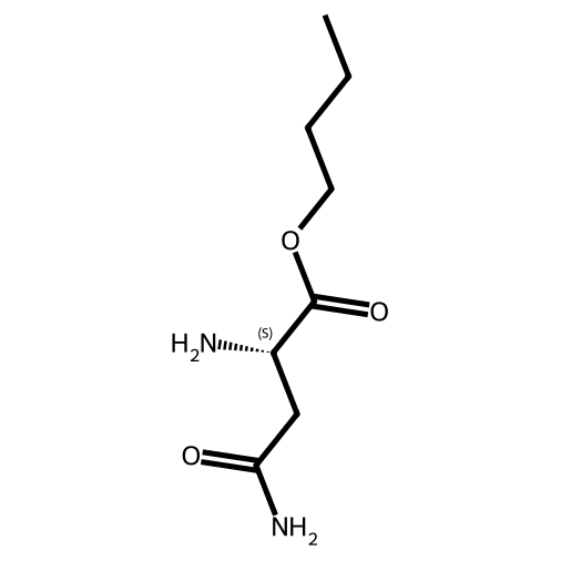 CCCCOC(=O)[C@@H](N)CC(N)=O